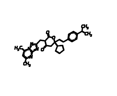 Cc1cc(C)n2nc(CC3C(=O)CC(CCc4ccc(C(C)C)cc4)(C4CCCC4)OC3=O)nc2n1